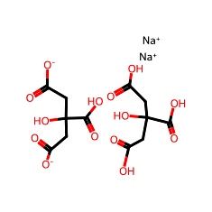 O=C(O)CC(O)(CC(=O)O)C(=O)O.O=C([O-])CC(O)(CC(=O)[O-])C(=O)O.[Na+].[Na+]